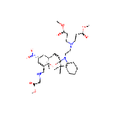 COC(=O)CCN(CCC(=O)OC)CCN1C2=C(CCCC2)C(C)(C)C12C=CC1C[C@@H]([N+](=O)[O-])C=C(CNCC(=O)OC)[C@H]1O2